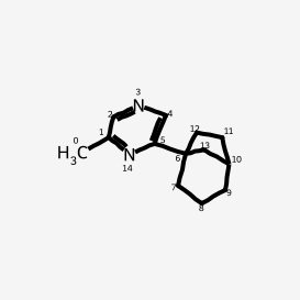 Cc1cncc(C23CCCC(CC2)C3)n1